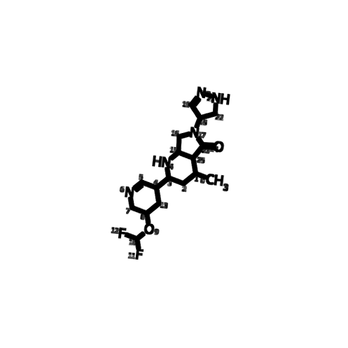 CC1CC(C2C=NCC(OC(F)F)C2)NC2CN(C3C=NNC3)C(=O)C12